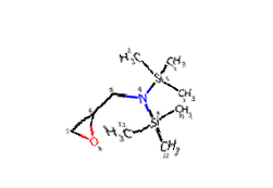 C[Si](C)(C)N(CC1CO1)[Si](C)(C)C